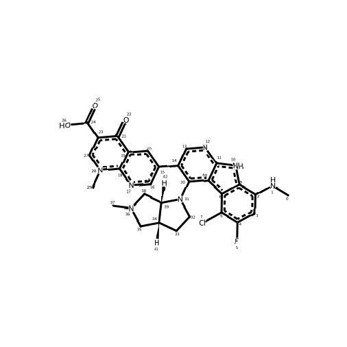 CNc1cc(F)c(Cl)c2c1[nH]c1ncc(-c3cnc4c(c3)c(=O)c(C(=O)O)cn4C)c(N3CC[C@@H]4CN(C)C[C@@H]43)c12